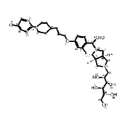 O=CC(c1ccc(OCCCC2CCN(c3ncc(Cl)cn3)CC2)cc1F)N1C[C@H]2CN(C[C@H](O)[C@@H](O)[C@H](O)[C@H](O)CO)C[C@H]2C1